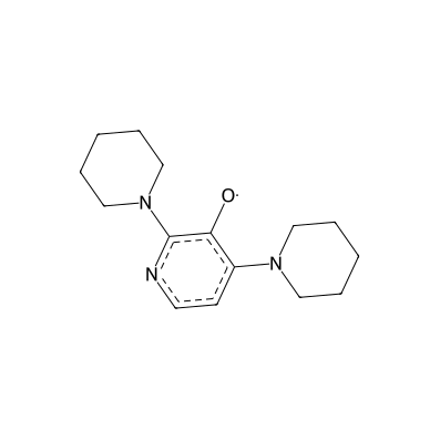 [O]c1c(N2CCCCC2)ccnc1N1CCCCC1